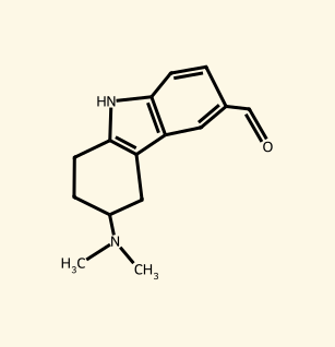 CN(C)C1CCc2[nH]c3ccc(C=O)cc3c2C1